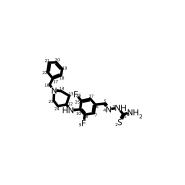 NC(=S)NN=Cc1cc(F)c(NC2CCN(Cc3ccccc3)CC2)c(F)c1